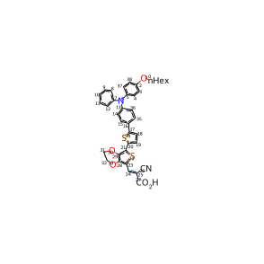 CCCCCCOc1ccc(N(c2ccccc2)c2ccc(-c3ccc(-c4sc(/C=C(\C#N)C(=O)O)c5c4OCCO5)s3)cc2)cc1